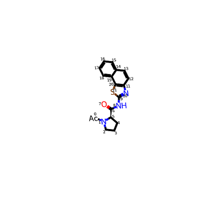 CC(=O)N1CCC[C@@H]1C(=O)Nc1nc2ccc3ccccc3c2s1